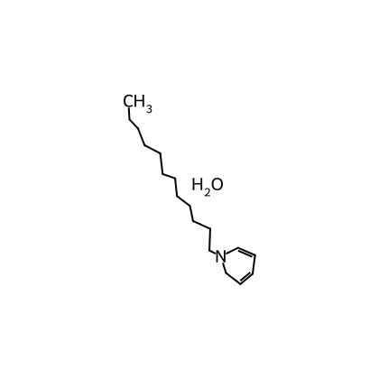 CCCCCCCCCCCCN1C=CC=CC1.O